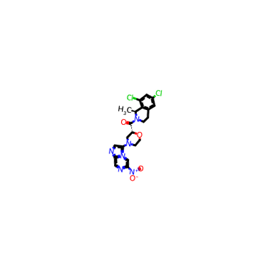 C[C@H]1c2c(Cl)cc(Cl)cc2CCN1C(=O)[C@H]1CN(c2cnc3cnc([N+](=O)[O-])cn23)CCO1